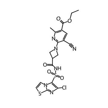 CCOC(=O)c1cc(C#N)c(N2CC(C(=O)NS(=O)(=O)c3c(Cl)nc4sccn34)C2)nc1C